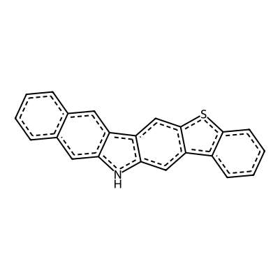 c1ccc2cc3c(cc2c1)[nH]c1cc2c(cc13)sc1ccccc12